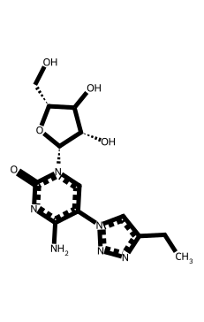 CCc1cn(-c2cn([C@@H]3O[C@H](CO)C(O)[C@@H]3O)c(=O)nc2N)nn1